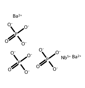 O=P([O-])([O-])[O-].O=P([O-])([O-])[O-].O=P([O-])([O-])[O-].[Ba+2].[Ba+2].[Nb+5]